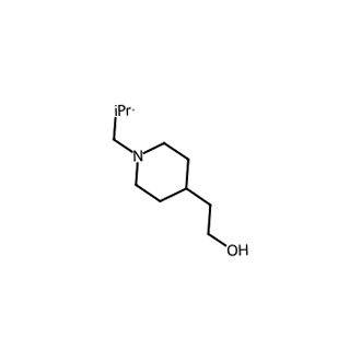 C[C](C)CN1CCC(CCO)CC1